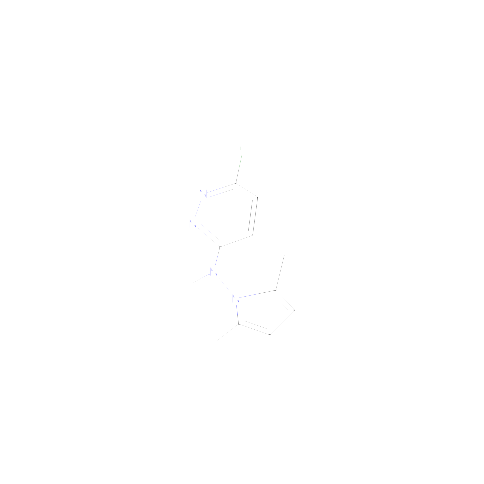 Cc1ccc(C)n1N(C)c1ccc(Cl)nn1